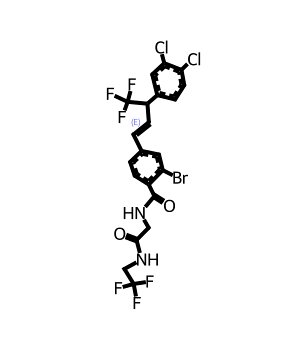 O=C(CNC(=O)c1ccc(/C=C/C(c2ccc(Cl)c(Cl)c2)C(F)(F)F)cc1Br)NCC(F)(F)F